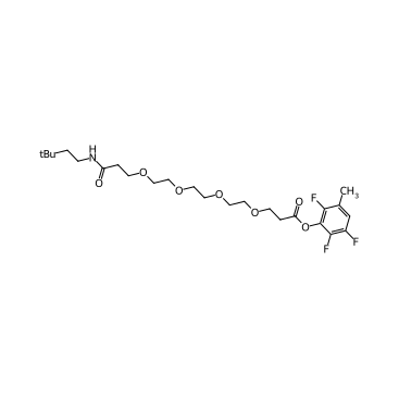 Cc1cc(F)c(F)c(OC(=O)CCOCCOCCOCCOCCC(=O)NCCC(C)(C)C)c1F